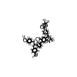 COc1ccc(CN(Cc2ccc(OC)cc2)c2cccc(-c3cc4nc(F)nc(N5CCN(C(=O)OC(C)(C)C)CC5)c4cc3Cl)n2)cc1